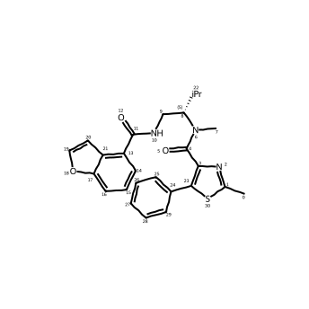 Cc1nc(C(=O)N(C)[C@H](CNC(=O)c2cccc3occc23)C(C)C)c(-c2ccccc2)s1